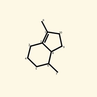 CC1=C2[CH]CCC(C)C2CC1